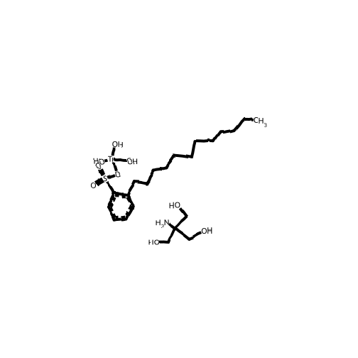 CCCCCCCCCCCCc1ccccc1S(=O)(=O)[O][Ti]([OH])([OH])[OH].NC(CO)(CO)CO